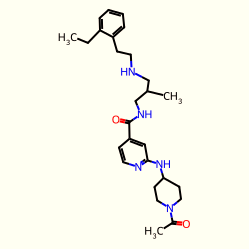 CCc1ccccc1CCNCC(C)CNC(=O)c1ccnc(NC2CCN(C(C)=O)CC2)c1